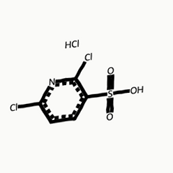 Cl.O=S(=O)(O)c1ccc(Cl)nc1Cl